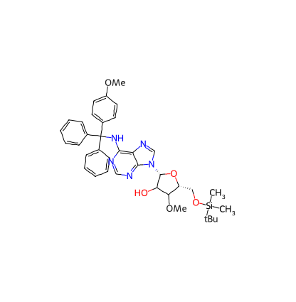 COc1ccc(C(Nc2ncnc3c2ncn3[C@@H]2O[C@H](CO[Si](C)(C)C(C)(C)C)C(OC)C2O)(c2ccccc2)c2ccccc2)cc1